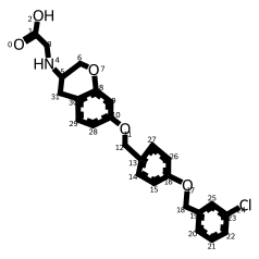 O=C(O)CNC1COc2cc(OCc3ccc(OCc4cccc(Cl)c4)cc3)ccc2C1